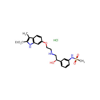 CCOC(=O)c1[nH]c2cc(OCCNC[C@H](O)c3cccc(NS(C)(=O)=O)c3)ccc2c1C.Cl